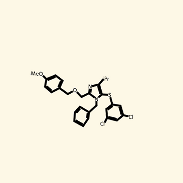 COc1ccc(COCc2nc(C(C)C)c(Sc3cc(Cl)cc(Cl)c3)n2Cc2ccccc2)cc1